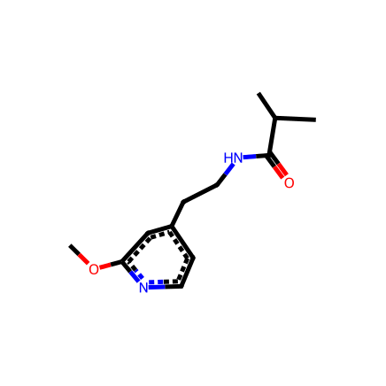 COc1cc(CCNC(=O)C(C)C)ccn1